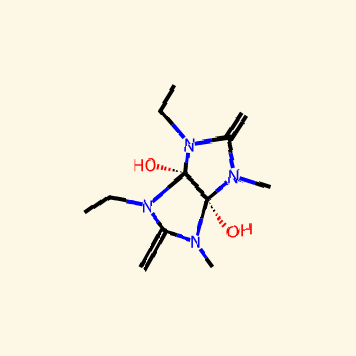 C=C1N(C)[C@]2(O)N(C)C(=C)N(CC)[C@]2(O)N1CC